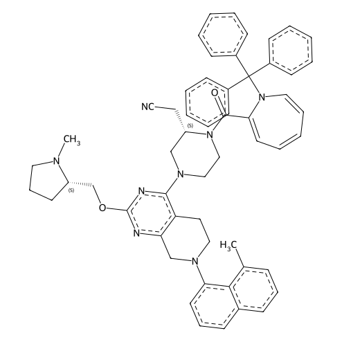 Cc1cccc2cccc(N3CCc4c(nc(OC[C@@H]5CCCN5C)nc4N4CCN(C(=O)C5=CC=CC=CN5C(c5ccccc5)(c5ccccc5)c5ccccc5)[C@@H](CC#N)C4)C3)c12